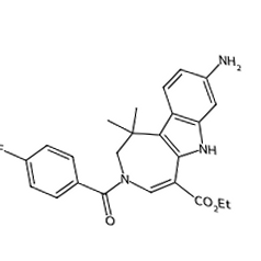 CCOC(=O)C1=CN(C(=O)c2ccc(F)cc2)CC(C)(C)c2c1[nH]c1cc(N)ccc21